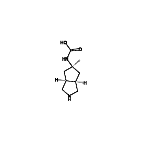 C[C@]1(NC(=O)O)C[C@H]2CNC[C@H]2C1